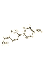 Cc1cnc(N(C)/C=C\C=C/C=O)cn1